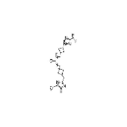 O=C(N1CC2(CC(Cc3n[nH]c(C4CC4)n3)C2)C1)N1CC2(CC(n3cnc(C(F)F)n3)C2)C1